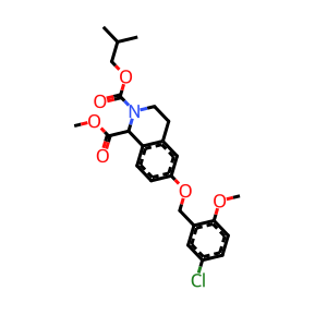 COC(=O)C1c2ccc(OCc3cc(Cl)ccc3OC)cc2CCN1C(=O)OCC(C)C